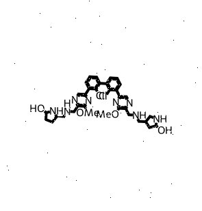 COc1nc(-c2cccc(-c3cccc(-c4cnc(CNC[C@H]5CCC(O)N5)c(OC)n4)c3Cl)c2Cl)cnc1CNCC1CNC(O)C1